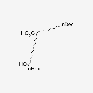 CCCCCCCCCCCCCCCCCCC(CCCCCCCCCC(O)CCCCCC)C(=O)O